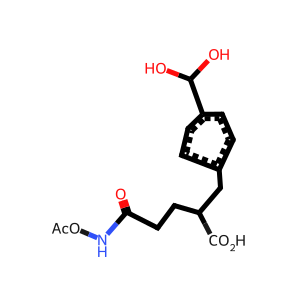 CC(=O)ONC(=O)CCC(Cc1ccc(C(O)O)cc1)C(=O)O